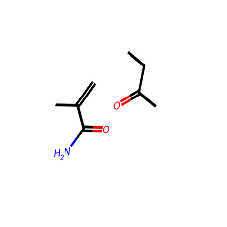 C=C(C)C(N)=O.CCC(C)=O